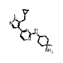 Cn1ncc(-c2ccnc(NC3CCC(C)(N)CC3)n2)c1CC1CC1